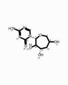 Nc1ncn([C@@H]2OCC(O)C[C@H](O)C2O)c(=O)n1